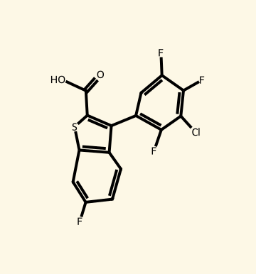 O=C(O)c1sc2cc(F)ccc2c1-c1cc(F)c(F)c(Cl)c1F